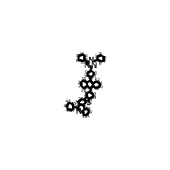 C1=C(c2nc(-c3ccccc3)nc(-c3ccccc3)n2)CCC(c2c3ccccc3c(-c3ccc4sc5c(ccc6c(-c7ccccc7)nc7ccccc7c65)c4c3)c3ccccc23)=C1